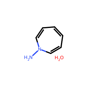 NN1C=CC=CC=C1.O